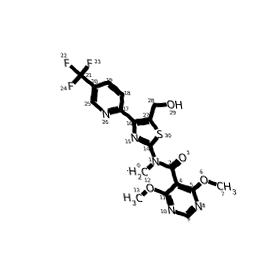 [CH2]N(C(=O)c1c(OC)ncnc1OC)c1nc(-c2ccc(C(F)(F)F)cn2)c(CO)s1